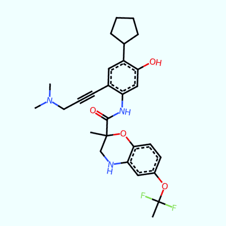 CN(C)CC#Cc1cc(C2CCCC2)c(O)cc1NC(=O)C1(C)CNc2cc(OC(C)(F)F)ccc2O1